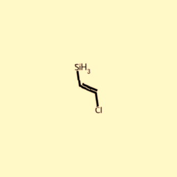 [SiH3]C=CCl